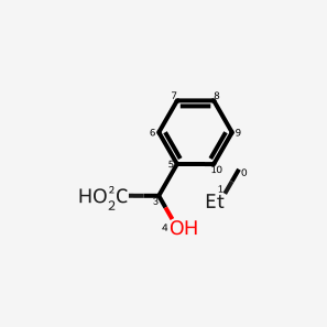 CCC.O=C(O)C(O)c1ccccc1